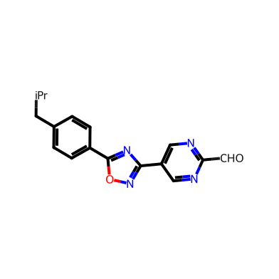 CC(C)Cc1ccc(-c2nc(-c3cnc(C=O)nc3)no2)cc1